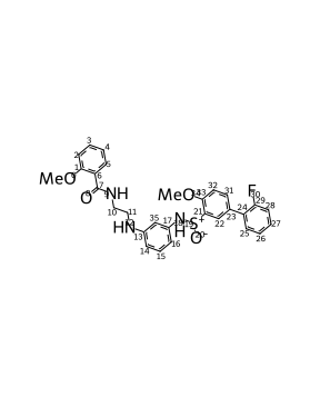 COc1ccccc1C(=O)NCCNc1cccc(N[S+]([O-])c2cc(-c3ccccc3F)ccc2OC)c1